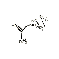 CCOC(C)=O.N#CN.N=C(N)N